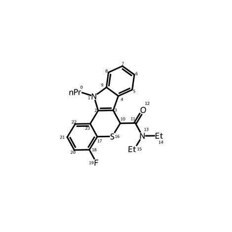 CCCn1c2c(c3ccccc31)C(C(=O)N(CC)CC)Sc1c(F)cccc1-2